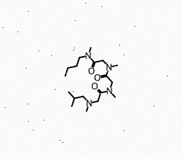 CCCCN(C)C(=O)CN(C)C(=O)CN(C)C(=O)CN(C)CC(C)C